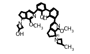 COc1nc(-c2cccc(-c3cccc(-c4cc5c(c(OC)n4)[C@H](N4CC(O)C4)CC5)c3Cl)c2Cl)cc2c1[C@H](N1CC(C)C1)CC2